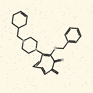 C=C1/C=C/C=C/C(N2CCN(CC3CC=CCC3)CC2)=C(/OCc2ccccc2)C1=O